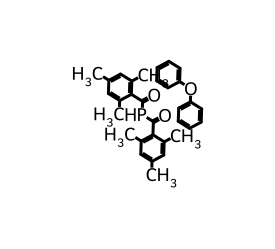 Cc1cc(C)c(C(=O)PC(=O)c2c(C)cc(C)cc2C)c(C)c1.c1ccc(Oc2ccccc2)cc1